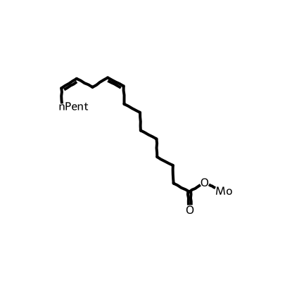 CCCCC/C=C\C/C=C\CCCCCCCC(=O)[O][Mo]